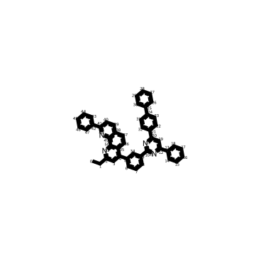 CCc1cc(-c2cccc(-c3nc(-c4ccccc4)cc(-c4ccc(-c5ccccc5)cc4)n3)c2)c2ccc3ccc(-c4ccccc4)nc3c2n1